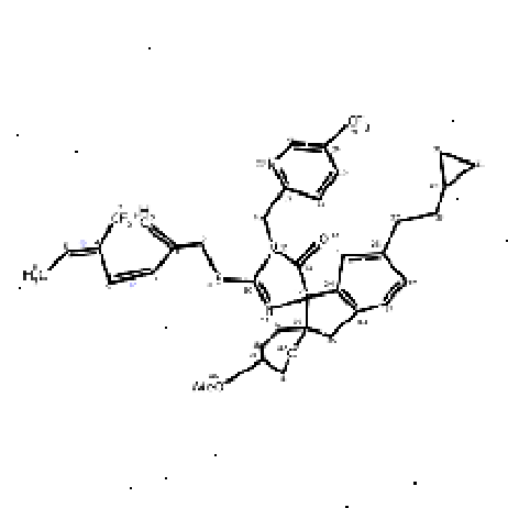 C=C(/C=C\C(=C/C)C(F)(F)F)CSC1=NC2(C(=O)N1Cc1ccc(C(F)(F)F)cn1)c1cc(CCC3CC3)ccc1CC21CCC(OC)CC1